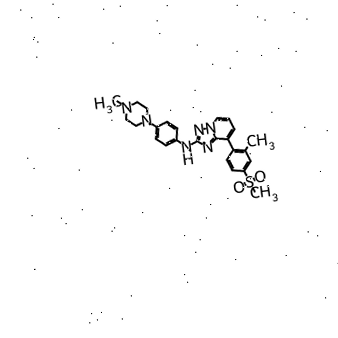 Cc1cc(S(C)(=O)=O)ccc1-c1cccn2nc(Nc3ccc(N4CCN(C)CC4)cc3)nc12